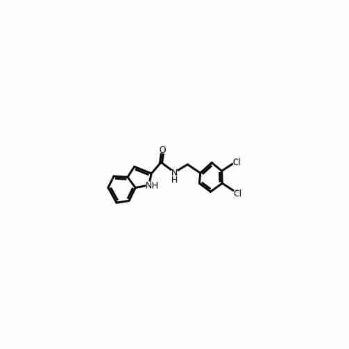 O=C(NCc1ccc(Cl)c(Cl)c1)c1cc2ccccc2[nH]1